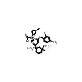 CC1(C(=O)O)C=CCC(C(=O)O)(c2cc(Oc3ccc(N)cc3F)ncn2)C1.CN1CC[C@H](NC(N)=O)C1